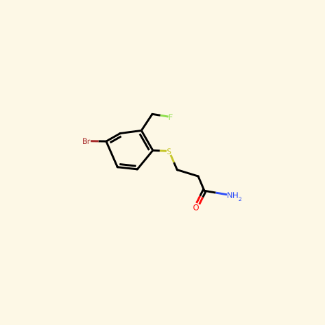 NC(=O)CCSc1ccc(Br)cc1CF